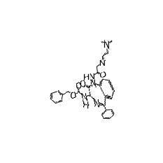 CN(C)CC=NCC(=O)NN1C(=O)C(NC(=O)OCc2ccccc2)N=C(c2ccccc2)c2ccccc21